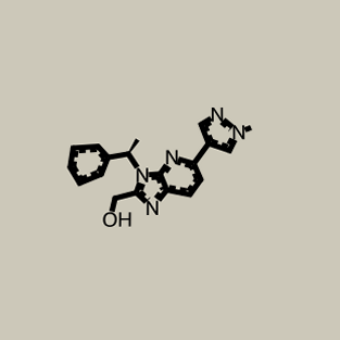 C[C@H](c1ccccc1)n1c(CO)nc2ccc(-c3cnn(C)c3)nc21